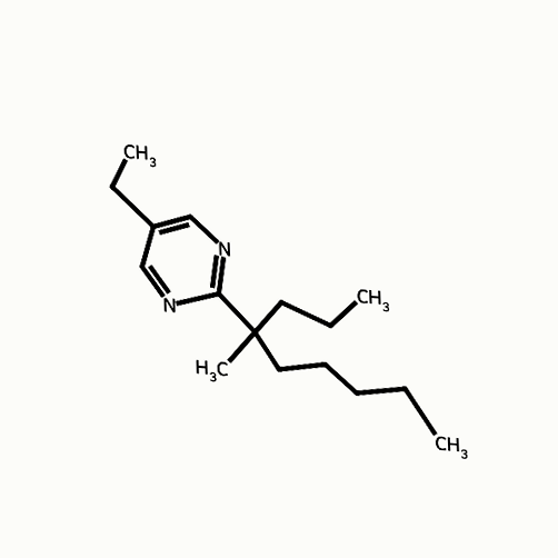 CCCCCC(C)(CCC)c1ncc(CC)cn1